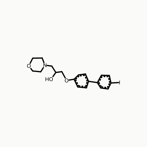 OC(COc1ccc(-c2ccc(I)cc2)cc1)CN1CCOCC1